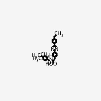 CCCc1ccc(-c2cnc(-c3ccc(C[C@H](NC(=O)c4ccc(C(C)(C)C)cc4)C(=O)O)cc3)nc2)cc1